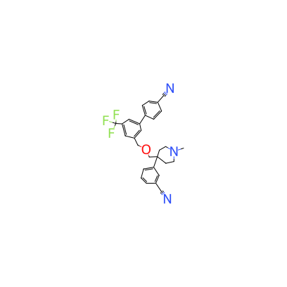 CN1CCC(COCc2cc(-c3ccc(C#N)cc3)cc(C(F)(F)F)c2)(c2cccc(C#N)c2)CC1